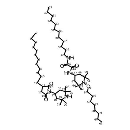 CCCCCCCCCCCCC1CC(=O)N(C2CC(C)(C)NC(C)(C)C2)C1=O.CCCCCCCCCCCCNC(=O)C(=O)NC1CC(C)(C)N(OCCCCCCCC)C(C)(C)C1